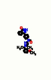 COc1cccc(C(C)NC(C)CCN(C=O)c2ccc(-c3n[nH]c(=O)c4ccccc34)cc2)c1